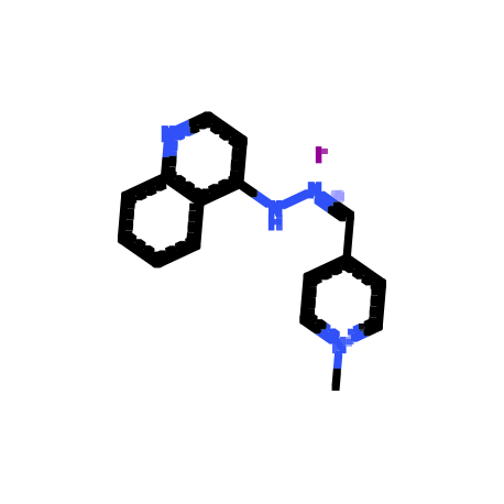 C[n+]1ccc(/C=N\Nc2ccnc3ccccc23)cc1.[I-]